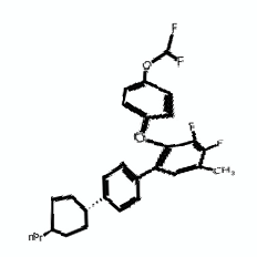 CCC[C@H]1CC[C@H](c2ccc(-c3cc(C)c(F)c(F)c3Oc3ccc(OC(F)F)cc3)cc2)CC1